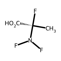 C[C@@](F)(C(=O)O)N(F)F